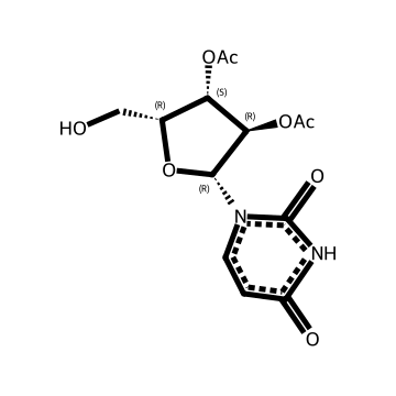 CC(=O)O[C@@H]1[C@@H](OC(C)=O)[C@@H](CO)O[C@H]1n1ccc(=O)[nH]c1=O